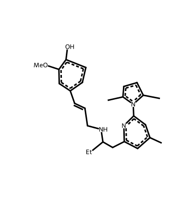 CCC(Cc1cc(C)cc(-n2c(C)ccc2C)n1)NCC=Cc1ccc(O)c(OC)c1